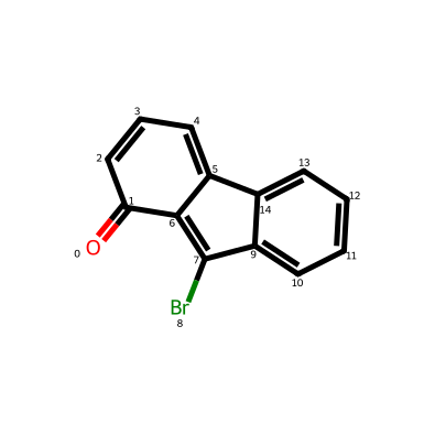 O=C1C=CC=C2C1=C(Br)c1ccccc12